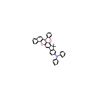 CC1(C)c2cc(N(c3ccccc3)c3ccccc3)ccc2-c2cc3c4c(c21)Oc1ccccc1B4c1ccc2ccccc2c1O3